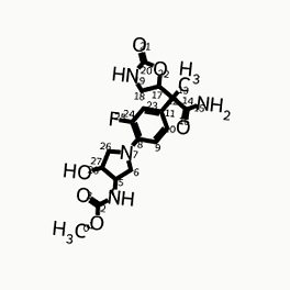 COC(=O)NC1CN(c2ccc(C(C)(C(N)=O)C3CNC(=O)O3)cc2F)CC1O